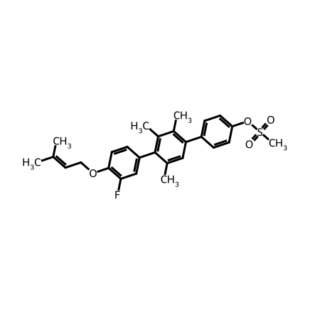 CC(C)=CCOc1ccc(-c2c(C)cc(-c3ccc(OS(C)(=O)=O)cc3)c(C)c2C)cc1F